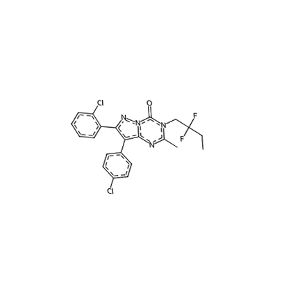 CCC(F)(F)Cn1c(C)nc2c(-c3ccc(Cl)cc3)c(-c3ccccc3Cl)nn2c1=O